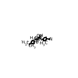 Cc1cc(NC(=O)C(C)(O)CS(=O)(=O)c2ccc(C(C)C)cc2)ccc1C#N